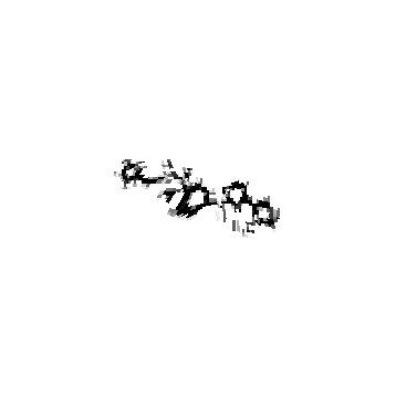 Cn1cncc1-c1ccnc(Nc2ccc(S(=O)(=O)NCc3ccco3)cc2)n1